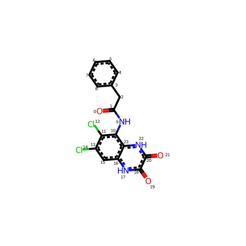 O=C(Cc1ccccc1)Nc1c(Cl)c(Cl)cc2[nH]c(=O)c(=O)[nH]c12